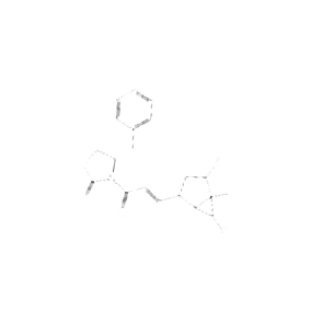 O=C(/C=C/C1CC(F)C2(Cl)C(F)C12)N1C(=O)OC[C@@H]1Cc1ccccc1